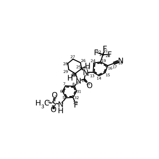 CS(=O)(=O)Nc1ccc(N2C(=O)N(c3ccc(C#N)c(C(F)(F)F)c3)[C@H]3CCCC[C@@H]32)cc1F